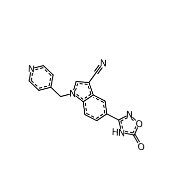 N#Cc1cn(Cc2ccncc2)c2ccc(-c3noc(=O)[nH]3)cc12